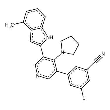 Cc1cccc2[nH]c(-c3cncc(-c4cc(F)cc(C#N)c4)c3N3CCCC3)cc12